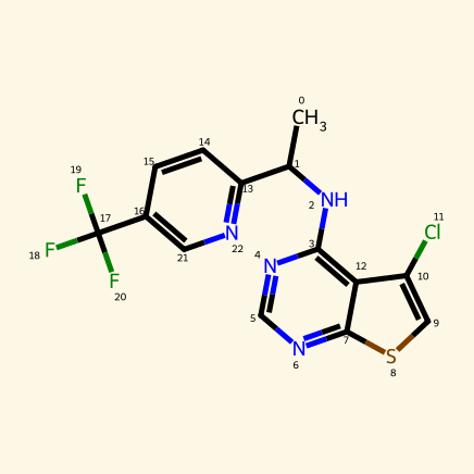 CC(Nc1ncnc2scc(Cl)c12)c1ccc(C(F)(F)F)cn1